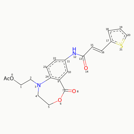 CC(=O)OCCN1CCOC(=O)c2cc(NC(=O)/C=C/c3cccs3)ccc21